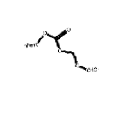 CCCCCOC(=O)OCO[C]=O